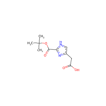 CC(C)(C)OC(=O)c1nc(CC(=O)O)c[nH]1